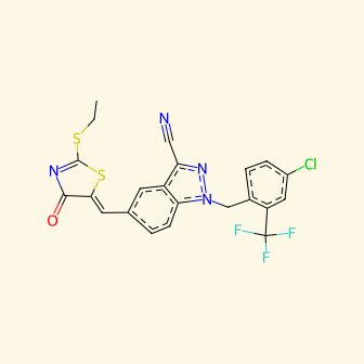 CCSC1=NC(=O)C(=Cc2ccc3c(c2)c(C#N)nn3Cc2ccc(Cl)cc2C(F)(F)F)S1